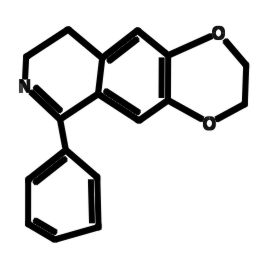 c1ccc(C2=NCCc3cc4c(cc32)OCCO4)cc1